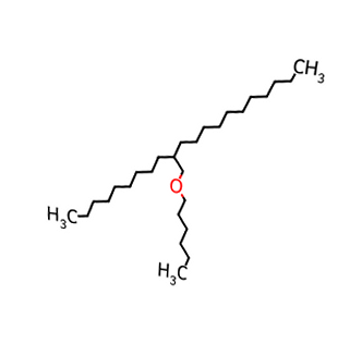 CCCCCCCCCCCC(CCCCCCCCC)COCCCCCC